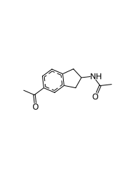 CC(=O)NC1Cc2ccc(C(C)=O)cc2C1